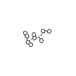 c1ccc2cc3c(cc2c1)c1ccc2ccccc2c1n3-c1ccc(-c2nc(-c3cccc4c3oc3ccccc34)nc3ccccc23)c2ccccc12